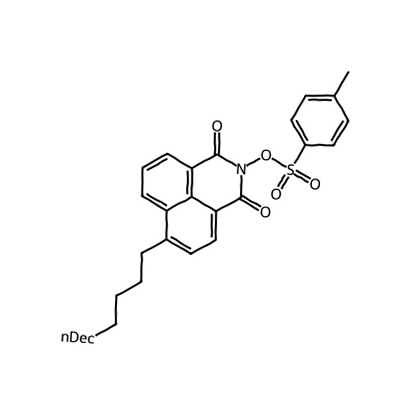 CCCCCCCCCCCCCCc1ccc2c3c(cccc13)C(=O)N(OS(=O)(=O)c1ccc(C)cc1)C2=O